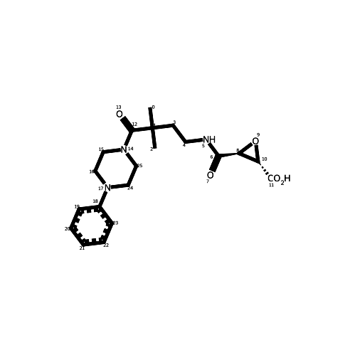 CC(C)(CCNC(=O)[C@H]1O[C@@H]1C(=O)O)C(=O)N1CCN(c2ccccc2)CC1